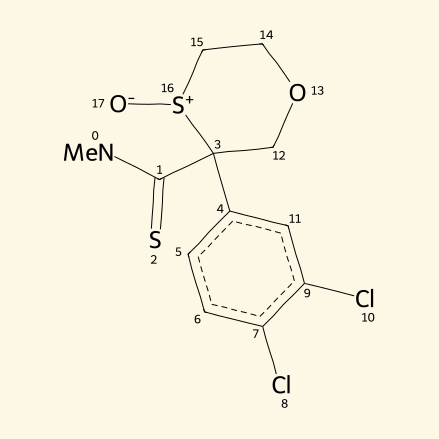 CNC(=S)C1(c2ccc(Cl)c(Cl)c2)COCC[S+]1[O-]